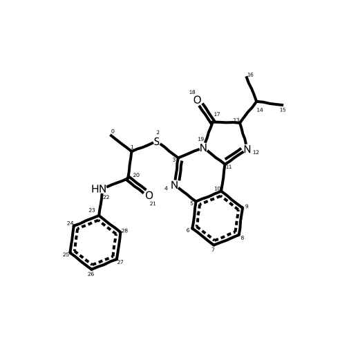 CC(SC1=Nc2ccccc2C2=NC(C(C)C)C(=O)N12)C(=O)Nc1ccccc1